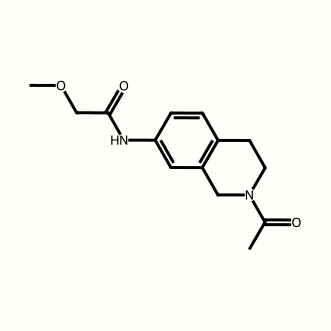 COCC(=O)Nc1ccc2c(c1)CN(C(C)=O)CC2